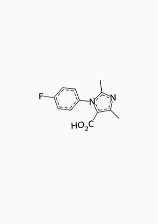 Cc1nc(C)n(-c2ccc(F)cc2)c1C(=O)O